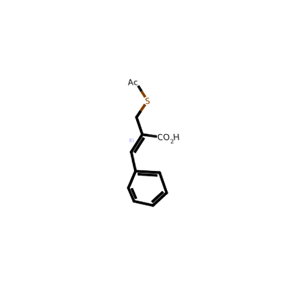 CC(=O)SC/C(=C/c1ccccc1)C(=O)O